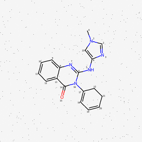 Cn1cnc(Nc2nc3ccccc3c(=O)n2C2=CC=CCC2)c1